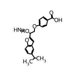 CC(C)c1ccc2oc(C(O)COc3ccc(C(=O)O)cc3)cc2c1.[NaH]